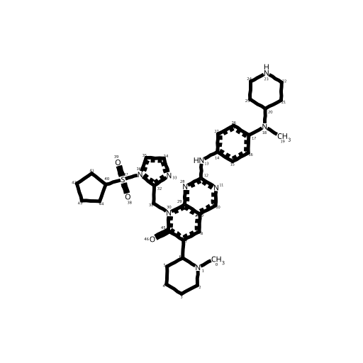 CN1CCCCC1c1cc2cnc(Nc3ccc(N(C)C4CCNCC4)cc3)nc2n(Cc2nccn2S(=O)(=O)C2CCCC2)c1=O